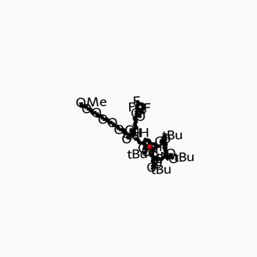 COCCOCCOCCOCCOCCOCCNC(=O)[C@H](CCCc1ccc(CC2CN(CC(=O)OC(C)(C)C)CCN(CC(=O)OC(C)(C)C)CCN(CC(=O)OC(C)(C)C)CCN2CC(=O)OC(C)(C)C)cc1)NC(=O)CCCCC(=O)Oc1c(F)c(F)cc(F)c1F